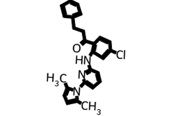 Cc1ccc(C)n1-c1cccc(Nc2cc(Cl)ccc2C(=O)CCc2ccccc2)n1